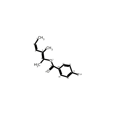 C/C=C\C(C)=C(/C)OC(=O)c1ccc(F)cc1